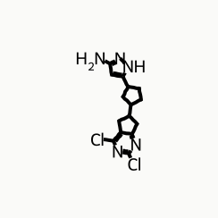 Nc1cc(C2CCC(C3Cc4nc(Cl)nc(Cl)c4C3)C2)[nH]n1